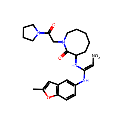 Cc1cc2cc(NC(=C[N+](=O)[O-])NC3CCCCCN(CC(=O)N4CCCC4)C3=O)ccc2o1